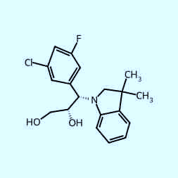 CC1(C)CN([C@@H](c2cc(F)cc(Cl)c2)[C@H](O)CO)c2ccccc21